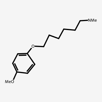 CNCCCCCCOc1ccc(OC)cc1